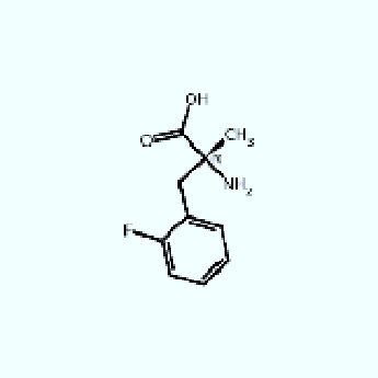 C[C@@](N)(Cc1ccccc1F)C(=O)O